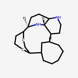 C1CCC2C[C@H](CC1)C1CCNC3CC[C@@H](N[C@H]31)C1CCCC2CC1